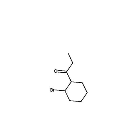 CCC(=O)C1CCCCC1Br